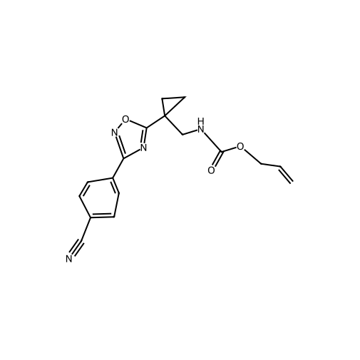 C=CCOC(=O)NCC1(c2nc(-c3ccc(C#N)cc3)no2)CC1